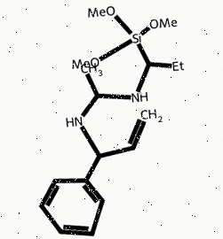 C=CC(NC(C)NC(CC)[Si](OC)(OC)OC)c1ccccc1